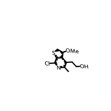 COc1csc2c(Cl)nc(C)c(CCO)c12